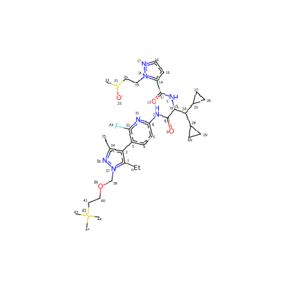 CCc1c(-c2ccc(NC(=O)[C@@H](NC(=O)c3ccnn3CC[S+](C)[O-])C(C3CC3)C3CC3)nc2F)c(C)nn1COCCS(C)(C)C